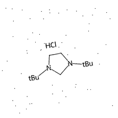 CC(C)(C)N1CCN(C(C)(C)C)C1.Cl